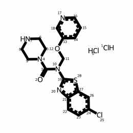 Cl.Cl.O=C(N1CCNCC1)N(COc1cccnc1)c1nc2ccc(Cl)cc2s1